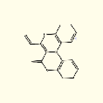 C=CC1=C2B(C3=C(CCC=C3)SC2=C)C(/C=C\C)=C(C)O1